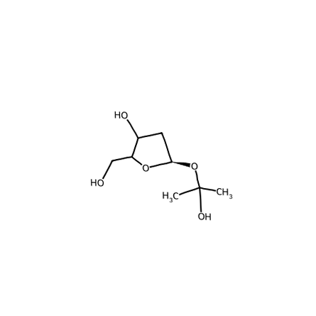 CC(C)(O)O[C@@H]1CC(O)C(CO)O1